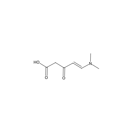 CN(C)C=CC(=O)CC(=O)O